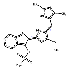 COc1c/c(=C2/N=c3ccccc3=C2OS(C)(=O)=O)[nH]/c1=C\c1[nH]c(C)cc1C